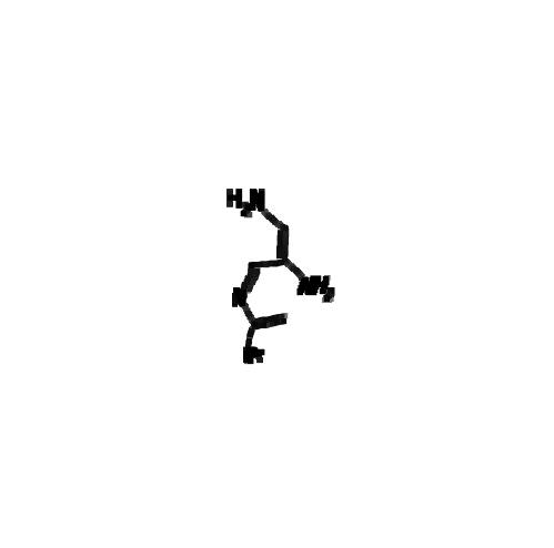 C=C(/N=C\C(N)=C/N)C(C)C